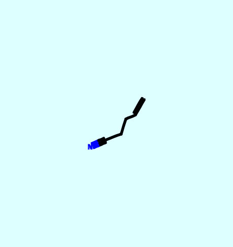 C=CCCC#N